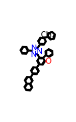 CC1(C2=CC=CCC2)C=CC(c2nc(-c3ccccc3)nc(-c3cc(-c4ccc(-c5ccc6ccccc6c5)cc4)cc4oc5ccccc5c34)n2)=CC1